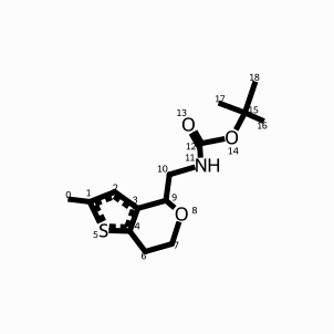 Cc1cc2c(s1)CCOC2CNC(=O)OC(C)(C)C